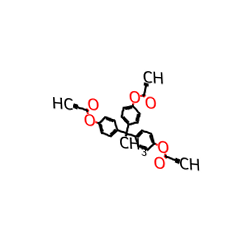 C#CC(=O)Oc1ccc(C(C)(c2ccc(OC(=O)C#C)cc2)c2ccc(OC(=O)C#C)cc2)cc1